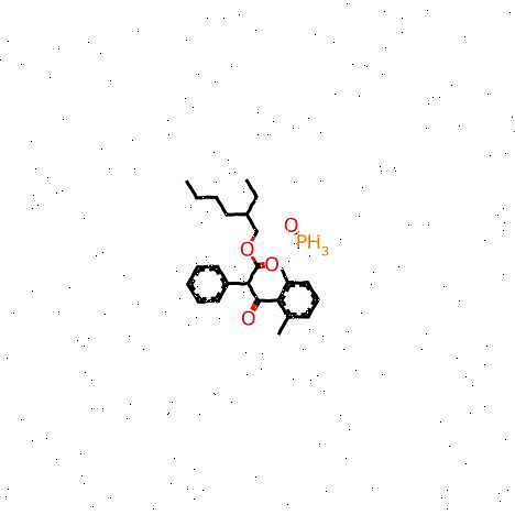 CCCCC(CC)COC(=O)C(C(=O)c1c(C)cccc1C)c1ccccc1.O=[PH3]